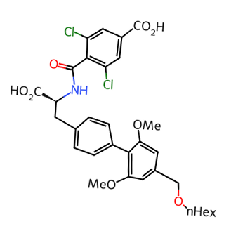 CCCCCCOCc1cc(OC)c(-c2ccc(C[C@H](NC(=O)c3c(Cl)cc(C(=O)O)cc3Cl)C(=O)O)cc2)c(OC)c1